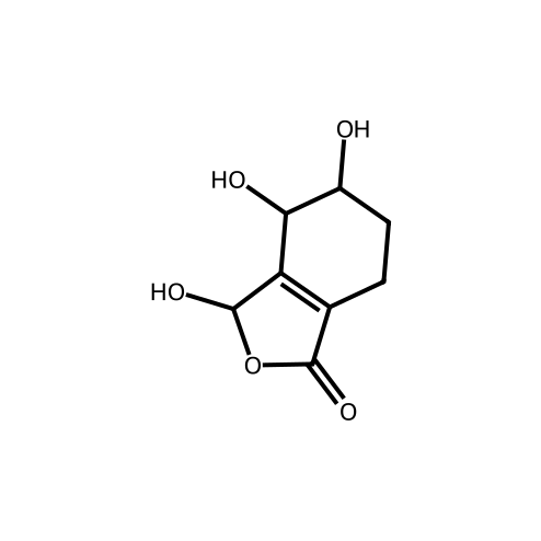 O=C1OC(O)C2=C1CCC(O)C2O